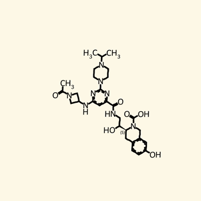 CC(=O)N1CC(Nc2cc(C(=O)NCC(O)[C@@H]3Cc4ccc(O)cc4CN3C(=O)O)nc(N3CCN(C(C)C)CC3)n2)C1